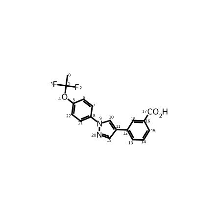 CC(F)(F)Oc1ccc(-n2cc(-c3cccc(C(=O)O)c3)cn2)cc1